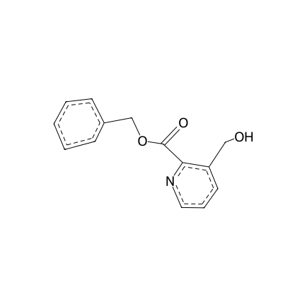 O=C(OCc1ccccc1)c1ncccc1CO